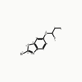 CCC(F)Oc1ccc2nc(Br)sc2c1